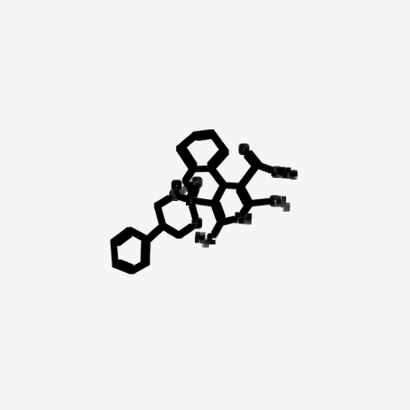 COC(=O)C1=C(C)NC(C)=C(P2(=O)OCC(c3ccccc3)CO2)C1c1ccccc1[N+](=O)[O-]